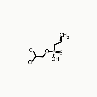 C=CCP(O)(=S)OCC(Cl)Cl